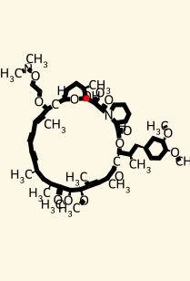 CO[C@@H]1/C(C)=C/[C@@H](C)C(=O)C[C@@H]([C@H](C)C[C@@H]2CC[C@@H](OC)[C@H](OC)C2)OC(=O)[C@@H]2CCCCN2C(=O)C(=O)[C@]2(O)O[C@@H](CC[C@H]2C)CC(OCCON(C)C)/C(C)=C/C=C/C=C/[C@@H](C)C[C@@H](C)C(=O)[C@@H]1OC